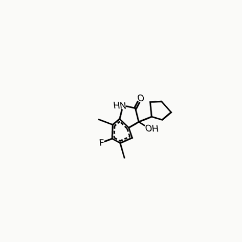 Cc1cc2c(c(C)c1F)NC(=O)C2(O)C1CCCC1